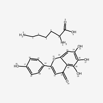 NCCCCC(N)C(=O)O.O=c1cc(-c2ccc(O)cc2)oc2cc(O)c(O)c(O)c12